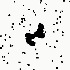 c1ccc(-c2ccc(-n3c4ccc(-c5ccc6c(c5)c5ccccc5n6-c5cccc(-c6ccccc6)c5)cc4c4cccnc43)cc2)cc1